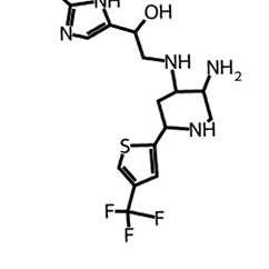 Cc1ncc(C(O)CNC2CC(c3cc(C(F)(F)F)cs3)NCC2N)[nH]1